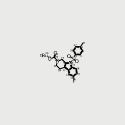 Cc1ccc(S(=O)(=O)n2c3c(c4cc(F)ccc42)CCN(C(=O)OC(C)(C)C)C3)cc1